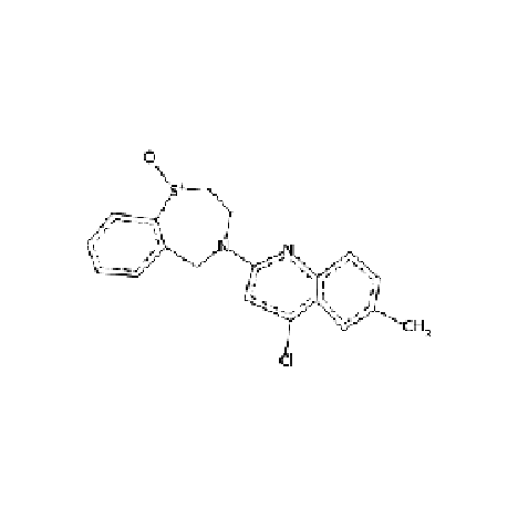 Cc1ccc2nc(N3CC[S+]([O-])c4ccccc4C3)cc(Cl)c2c1